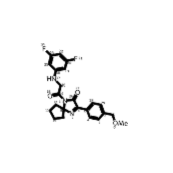 COCc1ccc(C2=NC3(CCCC3)N(C(=O)CNc3cc(F)cc(F)c3)C2=O)cc1